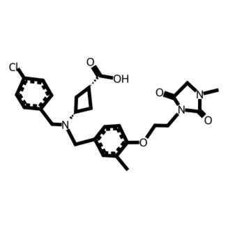 Cc1cc(CN(Cc2ccc(Cl)cc2)[C@H]2C[C@@H](C(=O)O)C2)ccc1OCCN1C(=O)CN(C)C1=O